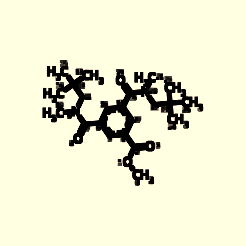 COC(=O)c1cc(C(=O)N(C)CC(C)(C)C)cc(C(=O)N(C)CC(C)(C)C)c1